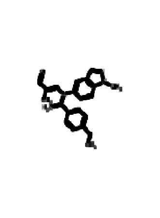 C=C(c1ccc(CC)cc1)N(/C=C(\C)C=O)c1ccc2c(cnn2C)c1